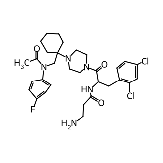 CC(=O)N(CC1(N2CCN(C(=O)C(Cc3ccc(Cl)cc3Cl)NC(=O)CCN)CC2)CCCCC1)c1ccc(F)cc1